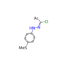 CSc1ccc(N/N=C(/Cl)C(C)=O)cc1